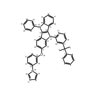 CC(C)(c1ccccc1)c1ccnc(-n2c3cc(Oc4cccc(-n5ccnc5)c4)ccc3c3c2c2ccccc2n3-c2ccccc2)c1